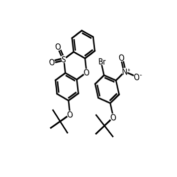 CC(C)(C)Oc1ccc(Br)c([N+](=O)[O-])c1.CC(C)(C)Oc1ccc2c(c1)Oc1ccccc1S2(=O)=O